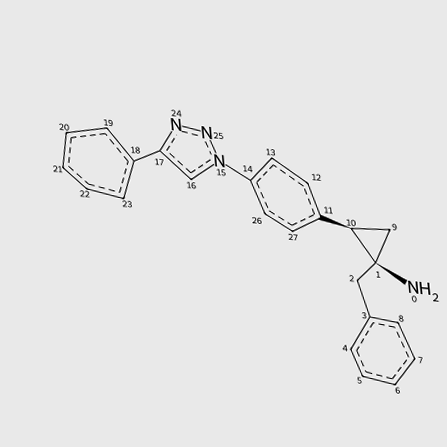 N[C@]1(Cc2ccccc2)C[C@@H]1c1ccc(-n2cc(-c3ccccc3)nn2)cc1